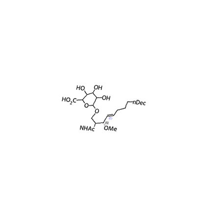 CCCCCCCCCCCCC/C=C/[C@H](OC)C(COC1OC(C(=O)O)C(O)C(O)C1O)NC(C)=O